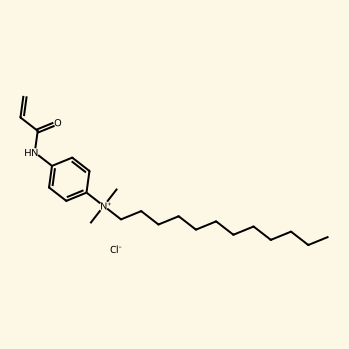 C=CC(=O)Nc1ccc([N+](C)(C)CCCCCCCCCCCC)cc1.[Cl-]